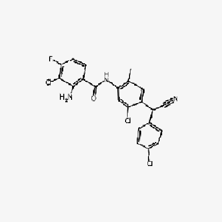 Cc1cc(C(C#N)c2ccc(Cl)cc2)c(Cl)cc1NC(=O)c1ccc(F)c(Cl)c1N